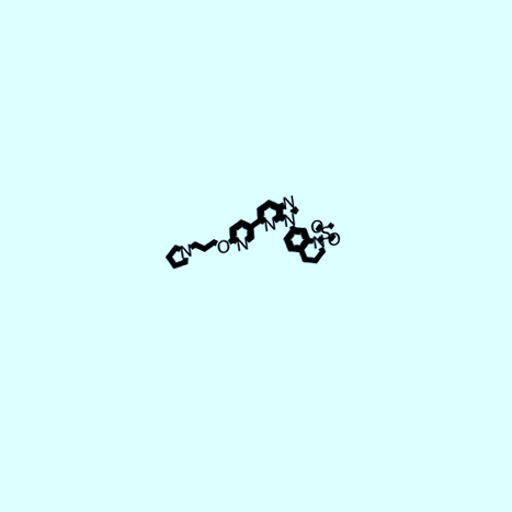 CS(=O)(=O)N1CCCc2ccc(-n3cnc4ccc(-c5ccc(OCCCN6CCCC6)nc5)nc43)cc21